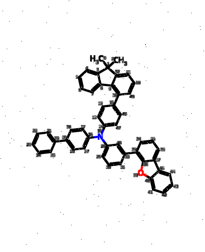 CC1(C)c2ccccc2-c2c(-c3ccc(N(c4ccc(-c5ccccc5)cc4)c4cccc(-c5cccc6c5oc5ccccc56)c4)cc3)cccc21